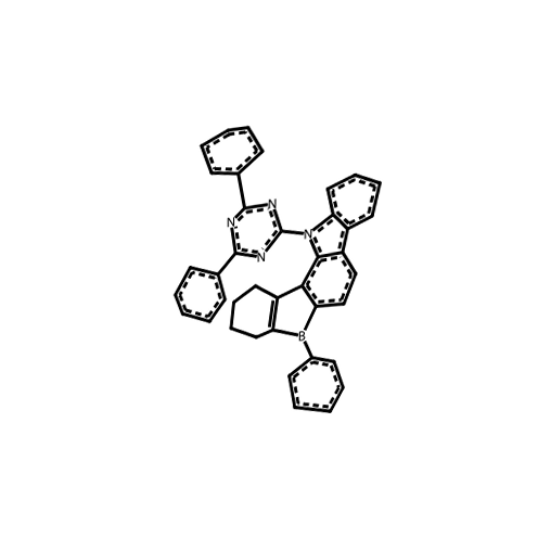 c1ccc(B2C3=C(CCCC3)c3c2ccc2c4ccccc4n(-c4nc(-c5ccccc5)nc(-c5ccccc5)n4)c32)cc1